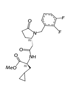 COC(=O)[C@H](CC1CC1)NC(=O)C[C@@H]1CCC(=O)N1Cc1cccc(F)c1F